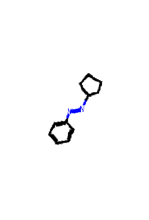 c1ccc(N=N[C]2CCCC2)cc1